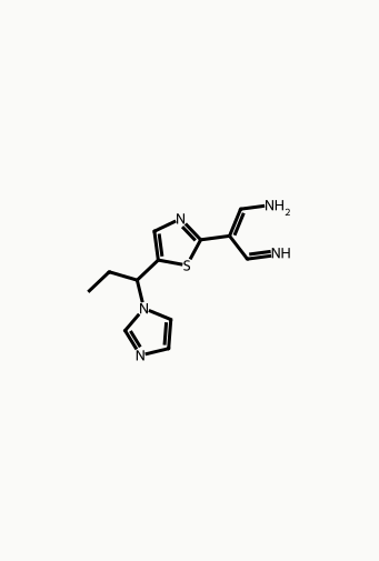 CCC(c1cnc(/C(C=N)=C/N)s1)n1ccnc1